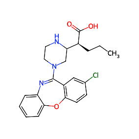 CCC[C@H](C(=O)O)C1CN(C2=Nc3ccccc3Oc3ccc(Cl)cc32)CCN1